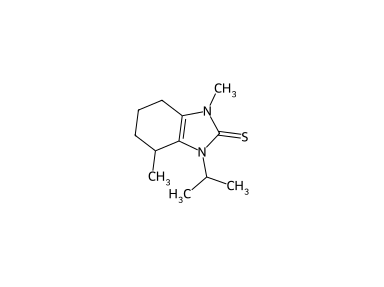 CC1CCCc2c1n(C(C)C)c(=S)n2C